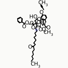 CC#CCOc1ccc(C[C@H](NC(=O)[C@@H](/C=C/CCCCCCC(=O)CCCCCCC)[C@@](O)(CC(=O)O)C(=O)OCOC(=O)c2ccccc2)C(=O)OC)cc1